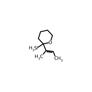 CC=C(C)C1([SiH3])CCCCO1